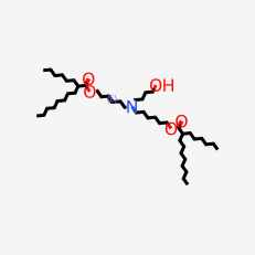 CCCCCCCCC(CCCCCC)C(=O)OCC/C=C/CCN(CCCCO)CCCCCCOC(=O)C(CCCCCC)CCCCCCCC